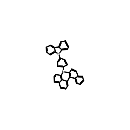 c1ccc2c3c(ccc2c1)N(c1ccc(-n2c4ccccc4c4ccccc42)cc1)c1cccc2cccc-3c12